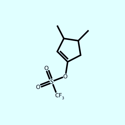 CC1C=C(OS(=O)(=O)C(F)(F)F)CC1C